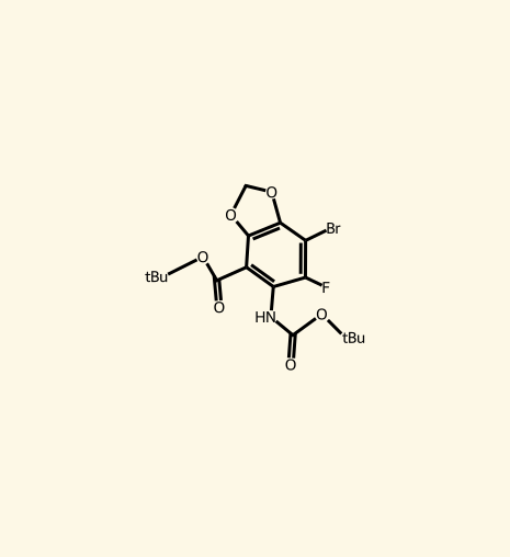 CC(C)(C)OC(=O)Nc1c(F)c(Br)c2c(c1C(=O)OC(C)(C)C)OCO2